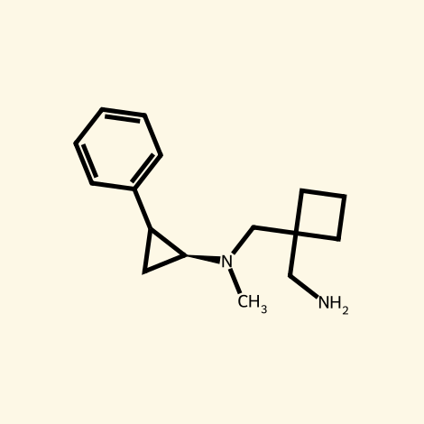 CN(CC1(CN)CCC1)[C@H]1CC1c1ccccc1